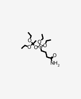 CCOC(C)(OCC)O[Si](CCCC(N)=O)(OCC)OCC